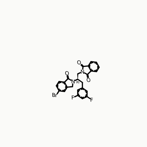 O=C1c2ccccc2C(=O)N1C[C@@H](Cc1cc(F)cc(F)c1)N1Cc2cc(Br)ccc2C1=O